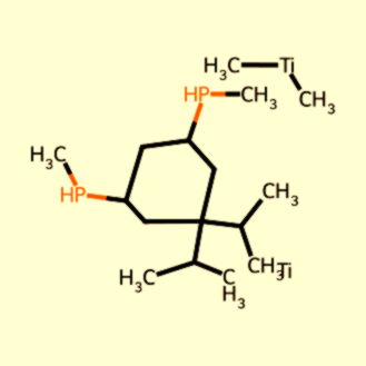 CPC1CC(PC)CC(C(C)C)(C(C)C)C1.[CH3][Ti][CH3].[Ti]